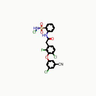 N#Cc1cc(Cl)cc(Oc2c(Cl)ccc(CC(=O)Nc3ccccc3S(=O)(=O)NCl)c2F)c1